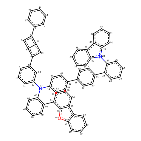 c1ccc(-c2cc3c(-c4cccc(N(c5ccc(-c6ccc(-c7ccccc7-n7c8ccccc8c8ccccc87)cc6)cc5)c5ccccc5-c5cccc6c5oc5ccccc56)c4)cc2-3)cc1